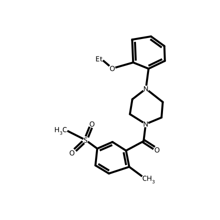 CCOc1ccccc1N1CCN(C(=O)c2cc(S(C)(=O)=O)ccc2C)CC1